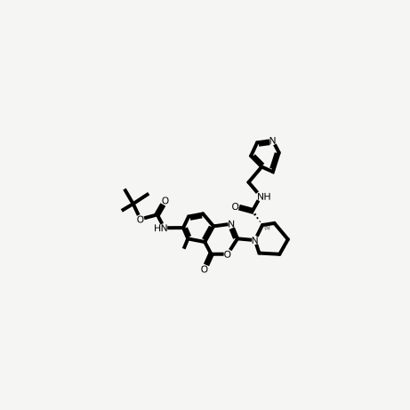 Cc1c(NC(=O)OC(C)(C)C)ccc2nc(N3CCCC[C@H]3C(=O)NCc3ccncc3)oc(=O)c12